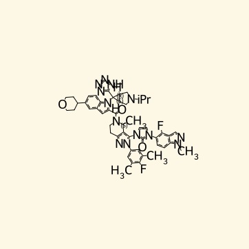 Cc1cc(-n2nc3c(c2-n2ccn(-c4ccc5c(cnn5C)c4F)c2=O)[C@H](C)N(C(=O)c2cc4cc(C5CCOCC5)ccc4n2C2(c4nnn[nH]4)[C@@H]4CN(C(C)C)C[C@@H]42)CC3)cc(C)c1F